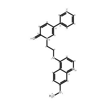 COc1ccc2c(OCCn3cc(-c4cccnc4)ccc3=O)ccnc2c1